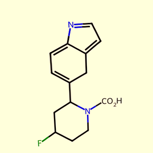 O=C(O)N1CCC(F)CC1C1=CC=C2N=CC=C2C1